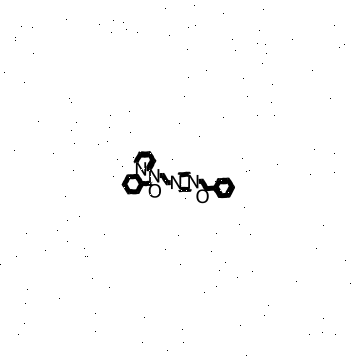 O=C(CN1CCN(CCN(C(=O)C2CCCCC2)c2ccccn2)CC1)c1ccccc1